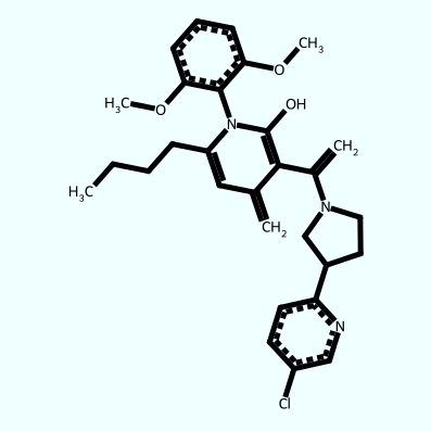 C=C1C=C(CCCC)N(c2c(OC)cccc2OC)C(O)=C1C(=C)N1CCC(c2ccc(Cl)cn2)C1